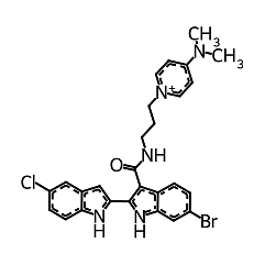 CN(C)c1cc[n+](CCCNC(=O)c2c(-c3cc4cc(Cl)ccc4[nH]3)[nH]c3cc(Br)ccc23)cc1